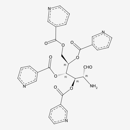 N[C@@H](C=O)[C@@H](OC(=O)c1cccnc1)[C@H](OC(=O)c1cccnc1)[C@@H](COC(=O)c1cccnc1)OC(=O)c1cccnc1